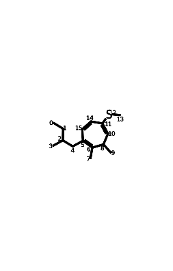 CCC(C)CC1=C(C)C(C)C=C(SC)C=C1